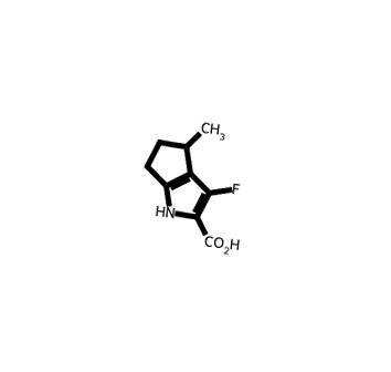 CC1CCc2[nH]c(C(=O)O)c(F)c21